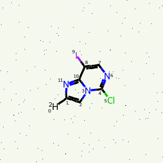 [2H]c1cn2c(Cl)ncc(I)c2n1